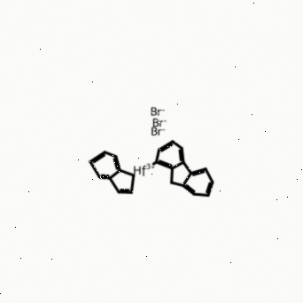 C1=C[CH]([Hf+3][c]2cccc3c2Cc2ccccc2-3)c2ccccc21.[Br-].[Br-].[Br-]